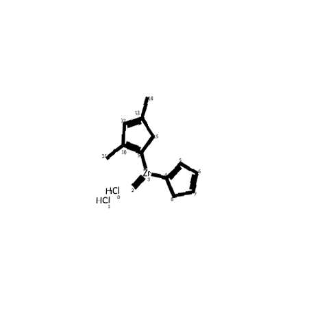 Cl.Cl.[CH2]=[Zr]([C]1=CC=CC1)[C]1=C(C)C=C(C)C1